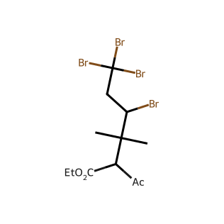 CCOC(=O)C(C(C)=O)C(C)(C)C(Br)CC(Br)(Br)Br